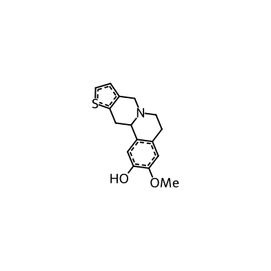 COc1cc2c(cc1O)C1Cc3sccc3CN1CC2